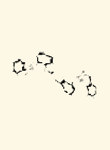 O=C(Nc1cccc(OS(=O)(=O)Cc2ccccc2)c1)Nc1ccccc1OS(=O)(=O)c1ccccc1